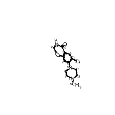 CN1CCN(c2cc3c(cc2Cl)C(=O)NCO3)CC1